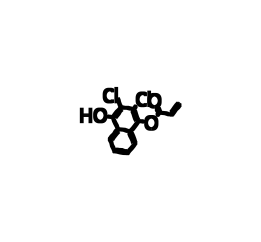 C=CC(=O)Oc1c(Cl)c(Cl)c(O)c2ccccc12